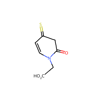 O=C(O)CN1C=CC(=S)CC1=O